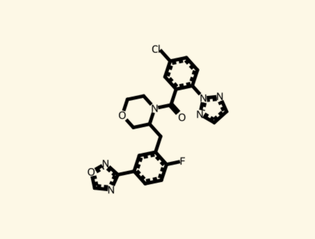 O=C(c1cc(Cl)ccc1-n1nccn1)N1CCOCC1Cc1cc(-c2ncon2)ccc1F